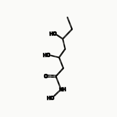 CCC(O)CC(O)CC(=O)NO